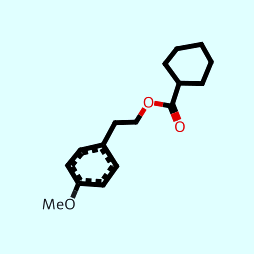 COc1ccc(CCOC(=O)C2CCCCC2)cc1